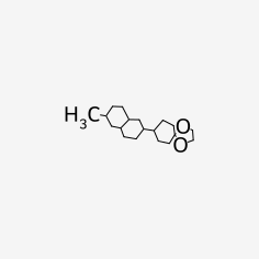 CC1CCC2CC(C3CCC4(CC3)OCCO4)CCC2C1